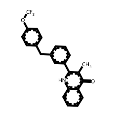 Cc1c(-c2cccc(Cc3ccc(OC(F)(F)F)cc3)c2)[nH]c2ccccc2c1=O